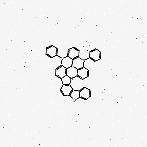 c1ccc(N2c3cccc4c3B3c5c2cccc5-n2c5c3c(ccc5c3ccc5oc6ccccc6c5c32)N4c2ccccc2)cc1